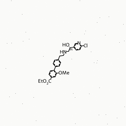 CCOC(=O)c1ccc(-c2ccc(CCNC[C@H](O)c3ccc(Cl)nc3)cc2)c(OC)c1